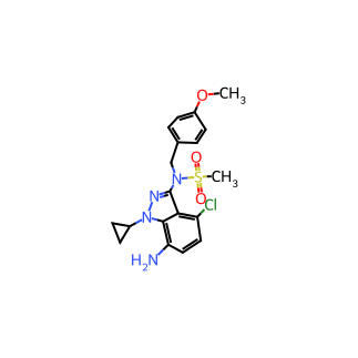 COc1ccc(CN(c2nn(C3CC3)c3c(N)ccc(Cl)c23)S(C)(=O)=O)cc1